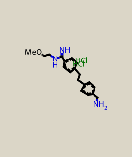 COCCNC(=N)c1ccc(CCc2ccc(CN)cc2)cc1.Cl.Cl